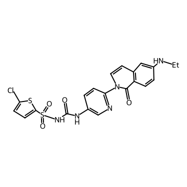 CCNc1ccc2c(=O)n(-c3ccc(NC(=O)NS(=O)(=O)c4ccc(Cl)s4)cn3)ccc2c1